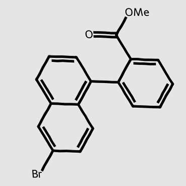 COC(=O)c1ccccc1-c1cccc2cc(Br)ccc12